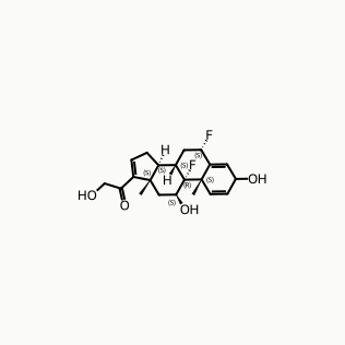 C[C@]12C=CC(O)C=C1[C@@H](F)C[C@H]1[C@@H]3CC=C(C(=O)CO)[C@@]3(C)C[C@H](O)[C@@]12F